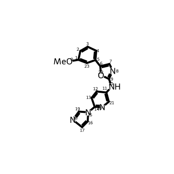 COc1cccc(-c2cnc(Nc3ccc(-n4ccnc4)nc3)o2)c1